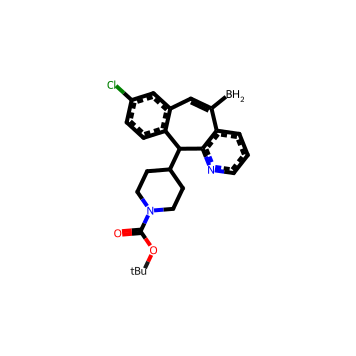 BC1=Cc2cc(Cl)ccc2C(C2CCN(C(=O)OC(C)(C)C)CC2)c2ncccc21